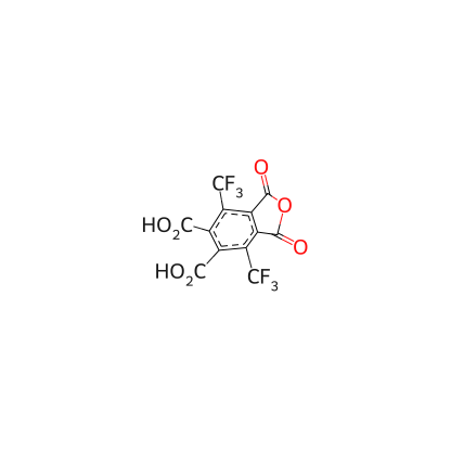 O=C(O)c1c(C(=O)O)c(C(F)(F)F)c2c(c1C(F)(F)F)C(=O)OC2=O